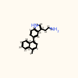 Cc1ccc(-c2ccc3[nH]cc(CCN)c3c2)c2ccccc12